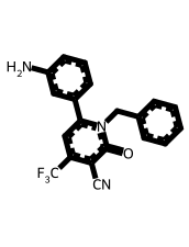 N#Cc1c(C(F)(F)F)cc(-c2cccc(N)c2)n(Cc2ccccc2)c1=O